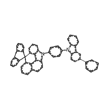 c1ccc(-c2ccc3c(c2)c2ccccc2n3-c2ccc(-n3c4cccc5c4c4c6c(cccc6ccc43)C53c4ccccc4-c4ccccc43)cc2)cc1